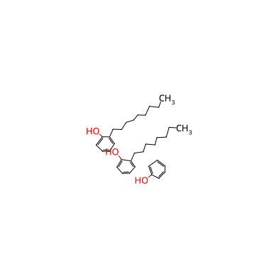 CCCCCCCCCc1ccccc1O.CCCCCCCCc1ccccc1O.Oc1ccccc1